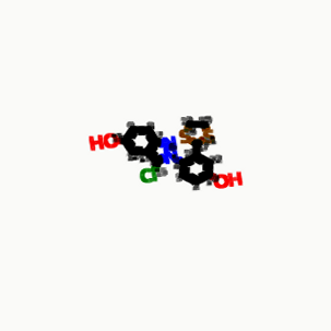 Oc1ccc(-n2nc3ccc(O)cc3c2Cl)c(C2SCCS2)c1